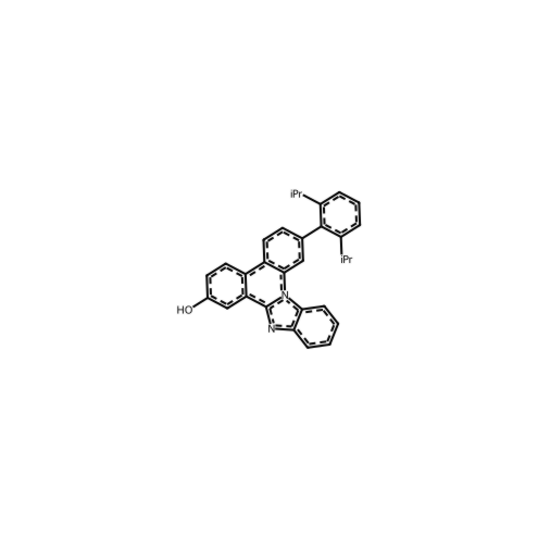 CC(C)c1cccc(C(C)C)c1-c1ccc2c3ccc(O)cc3c3nc4ccccc4n3c2c1